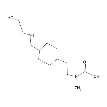 CN(CCC1CCC(CNCCO)CC1)C(=O)O